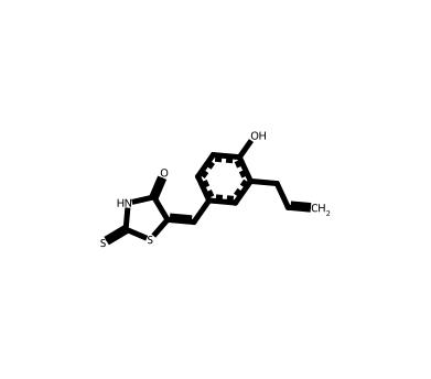 C=CCc1cc(C=C2SC(=S)NC2=O)ccc1O